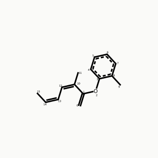 C=C(Oc1ccccc1C)/C(C)=C\C=C/C